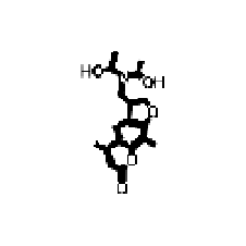 Cc1cc(=O)oc2c(C)c3c(cc12)C(CN(C(C)O)C(C)O)CO3